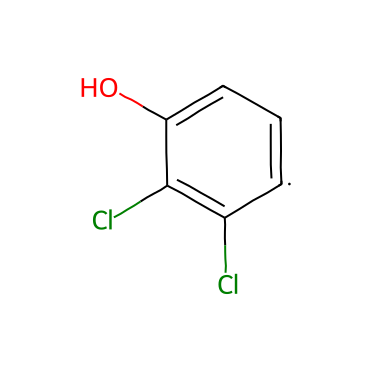 Oc1cc[c]c(Cl)c1Cl